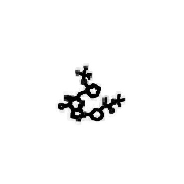 CC(C)(C)OC(=O)NC1CCCC(n2ncc3c(=O)[nH]c(Cc4ccccc4OC(F)(F)F)nc32)C1